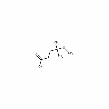 CC(C)(CCC(=O)O)O[SiH3]